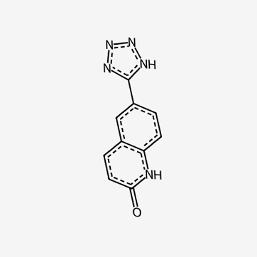 O=c1ccc2cc(-c3nnn[nH]3)ccc2[nH]1